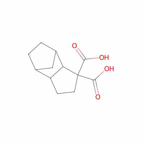 O=C(O)C1(C(=O)O)CCC2C3CCC(C3)C21